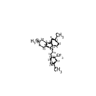 Cc1ccc2c(c1)c1c(n2CCc2cnc(C)cc2C(F)(F)F)CCN(C)C1